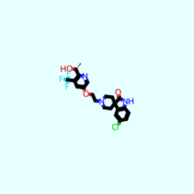 C[C@@H](O)c1ncc(OCCN2CCC3(CC2)C(=O)Nc2ccc(Cl)cc23)cc1C(F)(F)F